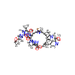 CCn1c(-c2cccnc2[C@H](C)OC)c2c3cc(ccc31)-c1csc(n1)C[C@H](NC(=O)[C@H](C(C)C)N(C)C(=O)N1CC3(CCCO3)C1)C(=O)N1CCC[C@H](N1)C(=O)OCC(C)(C)C2